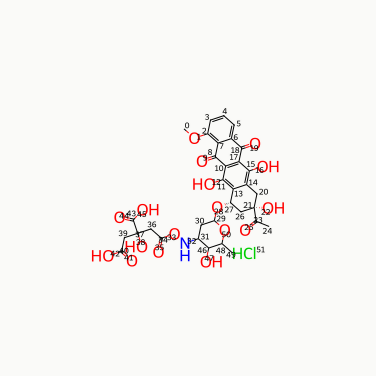 COc1cccc2c1C(=O)c1c(O)c3c(c(O)c1C2=O)C[C@@](O)(C(C)=O)C[C@@H]3OC1CC(NOC(=O)CC(O)(CC(=O)O)C(=O)O)C(O)C(C)O1.Cl